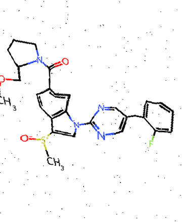 COCC1CCCN1C(=O)c1ccc2c([S+](C)[O-])cn(-c3ncc(-c4ccccc4F)cn3)c2c1